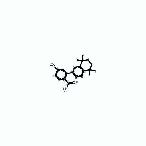 CC1(C)CCC(C)(C)c2cc(-c3cc(O)ccc3C(N)=O)ccc21